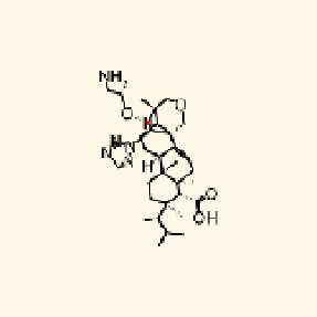 CC(C)[C@@H](C)[C@@]1(C)CC[C@]2(C)[C@H]3CC[C@@H]4[C@@]5(COC[C@@]4(C)[C@@H](OCCN)[C@H](n4ncnn4)C5)C3=CC[C@@]2(C)[C@@H]1C(=O)O